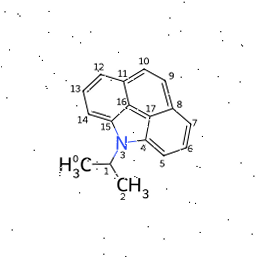 CC(C)n1c2cccc3ccc4cccc1c4c32